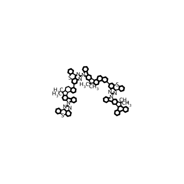 CC1(C)c2cc3c(cc2-c2c1ccc1c2ccc2ccc(-c4cc5c6c(nc(-n7c8ccccc8c8cc9c(cc87)C(C)(C)c7c-9c8ccccc8c8ccccc78)nc6c4)-c4ccccc4S5)cc21)c1ccccc1n3-c1nc2c3c(cc(-c4cccc5c4CCC4C5c5c(ccc6c5c5ccccc5n6-c5nc6c7c(cccc7n5)Sc5ccccc5-6)C4(C)C)cc3n1)Sc1ccccc1-2